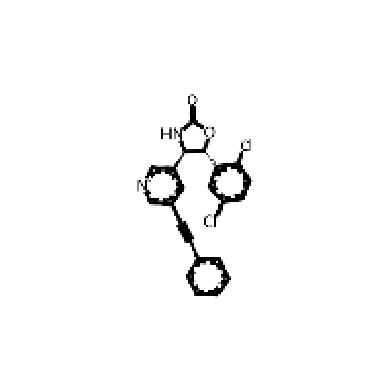 O=C1N[C@H](c2cncc(C#Cc3ccccc3)c2)[C@@H](c2cc(Cl)ccc2Cl)O1